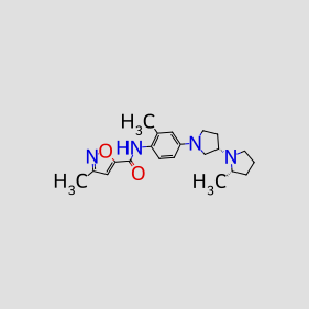 Cc1cc(C(=O)Nc2ccc(N3CC[C@H](N4CCC[C@@H]4C)C3)cc2C)on1